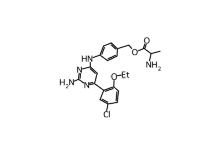 CCOc1ccc(Cl)cc1-c1cc(Nc2ccc(COC(=O)C(C)N)cc2)nc(N)n1